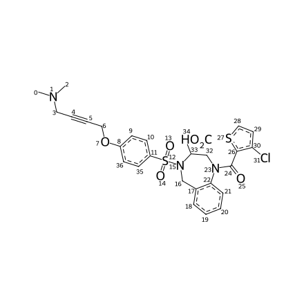 CN(C)CC#CCOc1ccc(S(=O)(=O)N2Cc3ccccc3N(C(=O)c3sccc3Cl)CC2C(=O)O)cc1